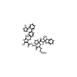 CCCCc1nc(Cl)c(C(=O)OCOC(=O)C(CCOC)CC2(C(=O)NC3(CO)Cc4ccccc4C3)CCCC2)n1Cc1ccc(-c2ccccc2-c2nnn[nH]2)cc1